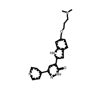 CN(C)CCCOc1ccc2cc(-c3cc(-c4ccncc4)n[nH]c3=O)[nH]c2c1